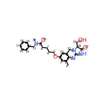 Cc1cc(OCCCCC(=O)N(C)Cc2ccccc2)cc2c1N=C1NC(=O)C(CO)N1C2